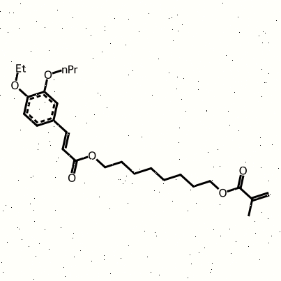 C=C(C)C(=O)OCCCCCCCCOC(=O)C=Cc1ccc(OCC)c(OCCC)c1